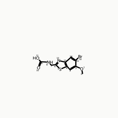 COc1cc2sc(CNC(=O)O)nc2cc1Br